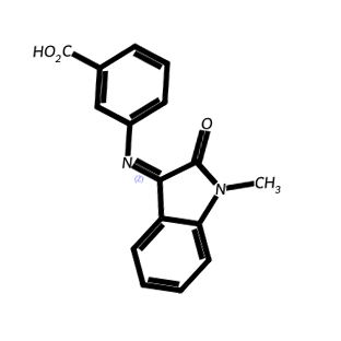 CN1C(=O)/C(=N\c2cccc(C(=O)O)c2)c2ccccc21